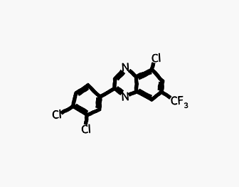 FC(F)(F)c1cc(Cl)c2ncc(-c3ccc(Cl)c(Cl)c3)nc2c1